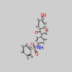 O=c1c(-c2ccc(NS(=O)(=O)c3ccccc3)cc2)coc2cc(O)ccc12